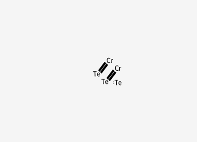 [Cr]=[Te].[Cr]=[Te].[Te]